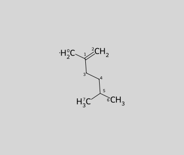 [CH2]C(=C)CCC(C)C